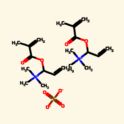 C=CC(OC(=O)C(=C)C)[N+](C)(C)C.C=CC(OC(=O)C(=C)C)[N+](C)(C)C.O=S(=O)([O-])[O-]